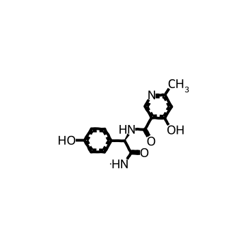 Cc1cc(O)c(C(=O)N[C@@H](C([NH])=O)c2ccc(O)cc2)cn1